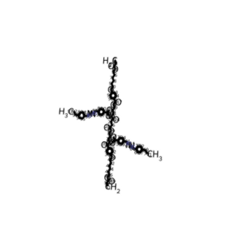 C=CC(=O)OCCCCCCOc1ccc(C(=O)OCC(COC(=O)CCC(=O)OCC(COC(=O)c2ccc(OCCCCCCOC(=O)C=C)cc2)OC(=O)c2ccc(/C=N/N=C/c3ccc(CCC)cc3)cc2)OC(=O)c2ccc(/C=N/N=C/C3=CC=C(CCC)CC3)cc2)cc1